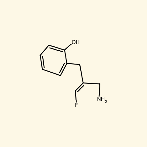 NCC(=CF)Cc1ccccc1O